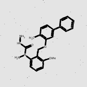 COc1cccc(N(N)C(=O)NN)c1COc1cc(-c2ccccc2)ccc1C